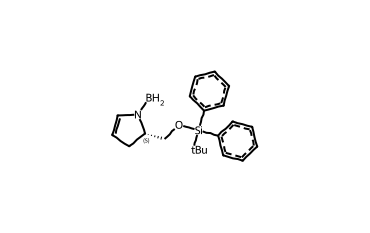 BN1C=CC[C@H]1CO[Si](c1ccccc1)(c1ccccc1)C(C)(C)C